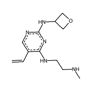 C=Cc1cnc(NC2COC2)nc1NCCNC